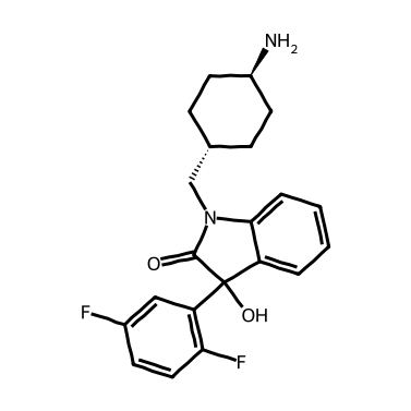 N[C@H]1CC[C@H](CN2C(=O)C(O)(c3cc(F)ccc3F)c3ccccc32)CC1